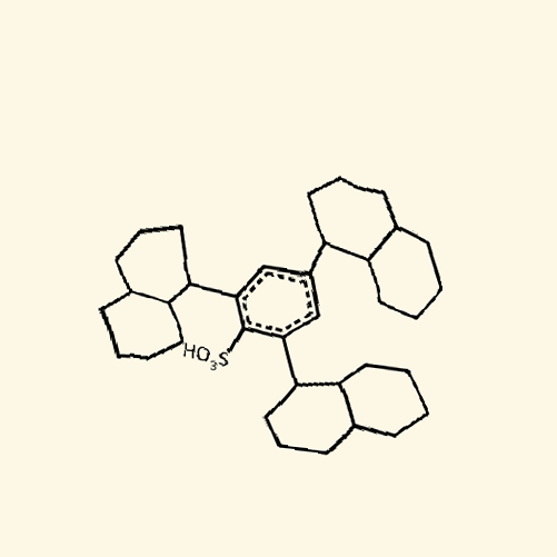 O=S(=O)(O)c1c(C2CCCC3CCCCC32)cc(C2CCCC3CCCCC32)cc1C1CCCC2CCCCC21